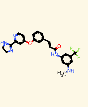 CNc1cc(NC(=O)C=Cc2cccc(Oc3ccnc(C4=NCCN4)c3)c2)cc(C(F)(F)F)c1